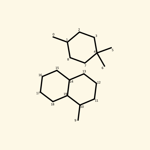 CC1CCC(C)(C)CC1.CC1CCCC2CCCCC12